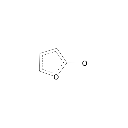 [O]c1ccco1